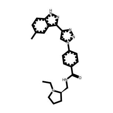 CCN1CCC[C@@H]1CNC(=O)c1ccc(-n2cc(-c3n[nH]c4ccc(C)cc34)nn2)cc1